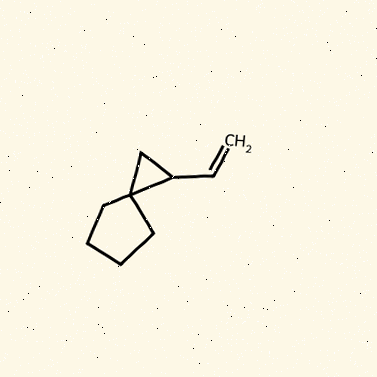 C=CC1CC12CCCC2